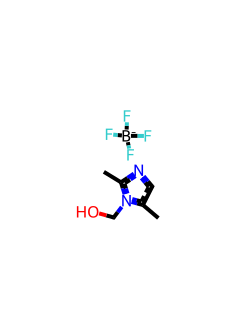 Cc1cnc(C)n1CO.F[B-](F)(F)F